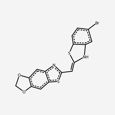 Brc1ccc2c(c1)N/C(=C/c1nc3cc4c(cc3s1)OCO4)S2